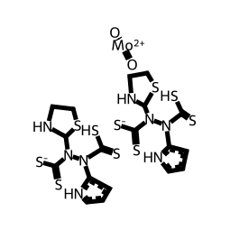 S=C(S)N(c1ccc[nH]1)N(C(=S)[S-])C1NCCS1.S=C(S)N(c1ccc[nH]1)N(C(=S)[S-])C1NCCS1.[O]=[Mo+2]=[O]